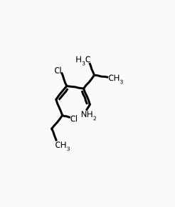 CCC(Cl)/C=C(Cl)\C(=C/N)C(C)C